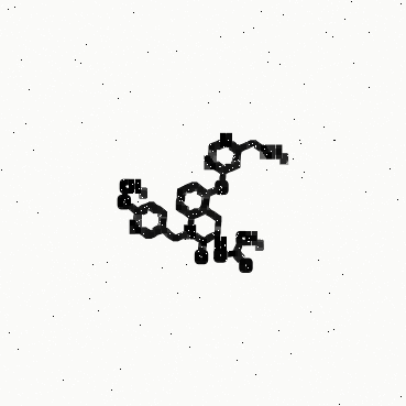 CC(=O)O.COc1ccc(CN2C(=O)CCc3c(Oc4cc(CN)ncn4)cccc32)cn1